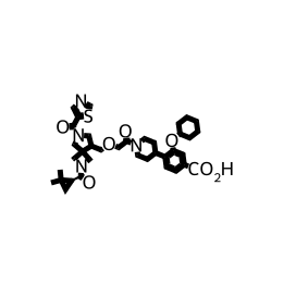 CC1(C)C[C@@H]1C(=O)N1CC2(CN(C(=O)c3cncs3)CC2COCC(=O)N2CCC(c3ccc(C(=O)O)cc3OC3CCCCC3)CC2)C1